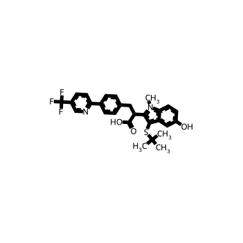 Cn1c(C(Cc2ccc(-c3ccc(C(F)(F)F)cn3)cc2)C(=O)O)c(SC(C)(C)C)c2cc(O)ccc21